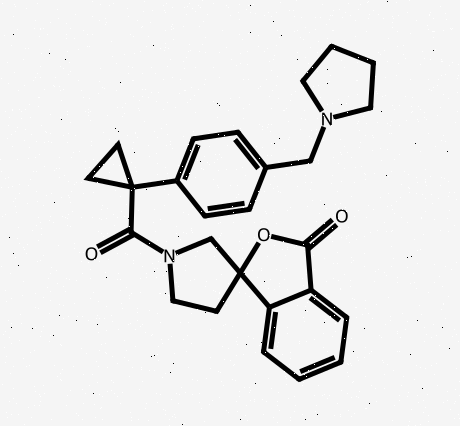 O=C1OC2(CCN(C(=O)C3(c4ccc(CN5CCCC5)cc4)CC3)C2)c2ccccc21